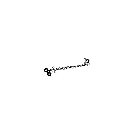 O=C(CCOCCOCCOCCOCCOCCOCCNC(=O)OCC1c2ccccc2-c2ccccc21)ON1C(=O)CCC1=O